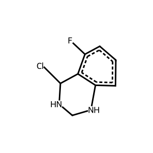 Fc1cccc2c1C(Cl)NCN2